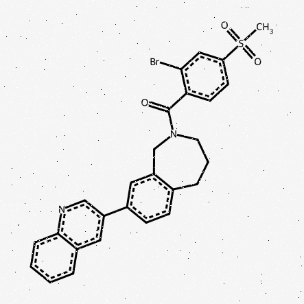 CS(=O)(=O)c1ccc(C(=O)N2CCCc3ccc(-c4cnc5ccccc5c4)cc3C2)c(Br)c1